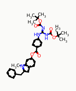 Cn1c(Cc2ccccc2)cc2ccc(OC(=O)c3ccc(N/C(=N\C(=O)OC(C)(C)C)NC(=O)OC(C)(C)C)cc3)cc21